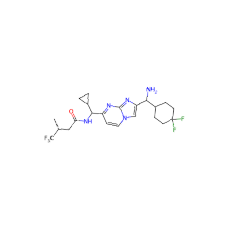 CC(CC(=O)NC(c1ccn2cc(C(N)C3CCC(F)(F)CC3)nc2n1)C1CC1)C(F)(F)F